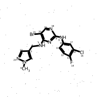 Cn1cc(CNc2nc(Nc3ccc(F)c(Cl)c3)ncc2Br)cn1